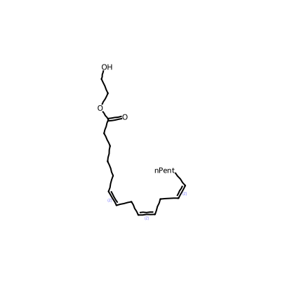 CCCCC/C=C\C/C=C\C/C=C\CCCCC(=O)OCCO